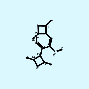 C/C=C(\C(=C/C1C(C)CC1C)SC)C1C(C)CC1C